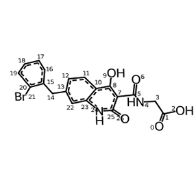 O=C(O)CNC(=O)c1c(O)c2ccc(Cc3ccccc3Br)cc2[nH]c1=O